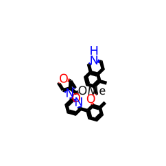 COC(=O)C1C2CN(c3cccc(-c4cccc(C)c4OCc4ccc5c(c4C)CCNC5)n3)C1CO2